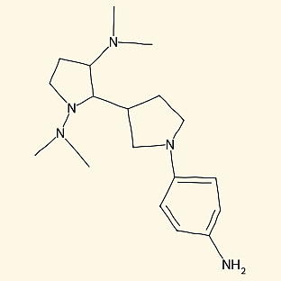 CN(C)C1CCN(N(C)C)C1C1CCN(c2ccc(N)cc2)C1